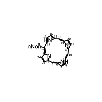 CCCCCCCCCc1c2nc(cc3ccc(cc4nc(cc5ccc1[nH]5)C=C4)[nH]3)C=C2